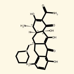 NC(=O)C1=C(O)[C@@H](N)[C@@H]2C[C@]3(CN4CCCCC4)Cc4c(N)ccc(O)c4C(=O)C3=C(O)[C@]2(O)C1=O